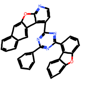 c1ccc(-c2nc(-c3cccc4oc5ccccc5c34)nc(-c3ccnc4oc5cc6ccccc6cc5c34)n2)cc1